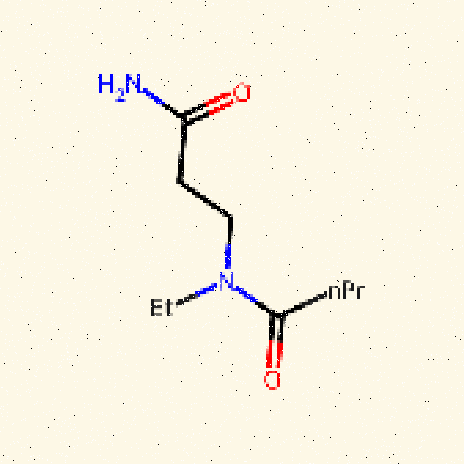 CCCC(=O)N(CC)CCC(N)=O